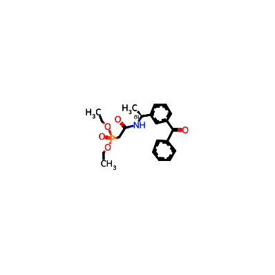 CCOP(=O)(CC(=O)N[C@@H](C)c1cccc(C(=O)c2ccccc2)c1)OCC